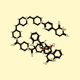 O=C1CCC(c2ccc(N3CCC(CN4CCC(CC5CCN(C(=O)C6CCN(C(=O)C7(Oc8ccccc8-c8nc9cccc(Cl)c9s8)CCN(C(=O)[C@H]8CC(=O)Nc9ccccc98)CC7)CC6)CC5)CC4)CC3)nc2)C(=O)N1